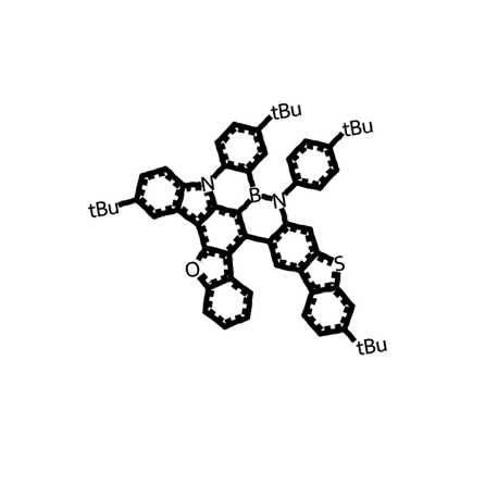 CC(C)(C)c1ccc(N2B3c4cc(C(C)(C)C)ccc4-n4c5ccc(C(C)(C)C)cc5c5c6oc7ccccc7c6c(c3c54)-c3cc4c(cc32)sc2cc(C(C)(C)C)ccc24)cc1